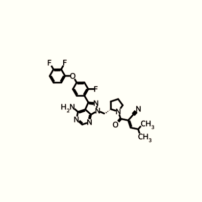 CC(C)C=C(C#N)C(=O)N1CCC[C@H]1Cn1nc(-c2ccc(Oc3cccc(F)c3F)cc2F)c2c(N)ncnc21